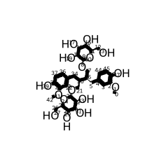 COc1cc(C[C@@H](CO[C@H]2O[C@H](CO)[C@@H](O)[C@H](O)[C@H]2O)[C@@H](CO[C@H]2O[C@H](CO)[C@@H](O)[C@H](O)[C@H]2O)Cc2ccc(O)c(OC)c2)ccc1O